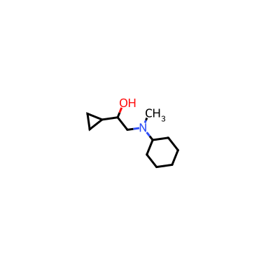 CN(CC(O)C1CC1)C1CCCCC1